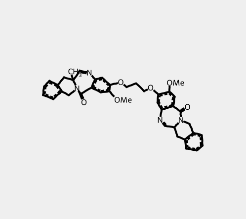 COc1cc2c(cc1OCCCOc1cc3c(cc1OC)C(=O)N1Cc4ccccc4CC1(C)C=N3)N=CC1Cc3ccccc3CN1C2=O